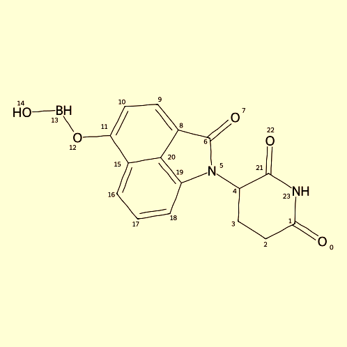 O=C1CCC(N2C(=O)c3ccc(OBO)c4cccc2c34)C(=O)N1